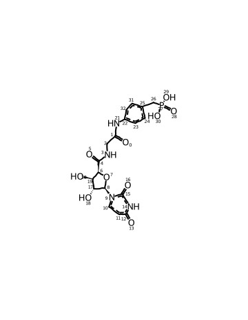 O=C(CNC(=O)[C@H]1O[C@@H](n2ccc(=O)[nH]c2=O)[C@H](O)[C@H]1O)Nc1ccc(CP(=O)(O)O)cc1